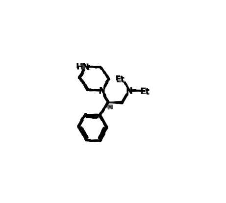 CCN(CC)C[C@@H](c1ccccc1)N1CCNCC1